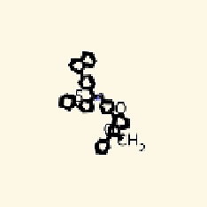 C=C1c2ccc3oc4cc(/C=C(/c5ccc(-c6cccc7ccccc67)cc5)c5cccc6c5sc5ccccc56)ccc4c3c2OC1c1ccccc1